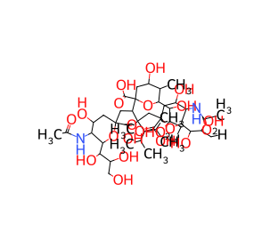 [2H]CC(O)C(O)C1OC(C(=O)O)(C(CC2(C(=O)O)CC(O)C(NC(C)=O)C(C(O)C(O)CO)O2)C(C)(CC2(C(=O)O)CC(O)C(NC(C)=O)C(C(O)C(O)C[2H])O2)C(C(C)C)C(C)C)CC(O)C1C